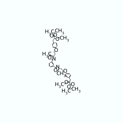 CCOC(Cc1ccc(OCCc2nc(-c3cccc(-c4nc(CCOc5ccc(C[C@H](OCC)C(=O)OC(C)C)cc5)c(C)o4)c3)oc2C)cc1)C(=O)OC(C)C